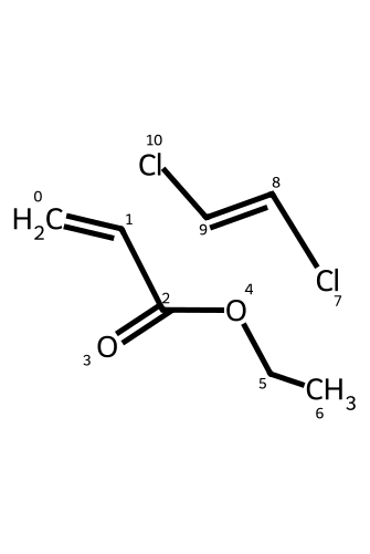 C=CC(=O)OCC.ClC=CCl